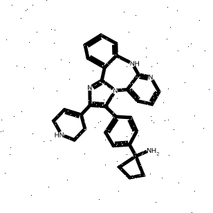 NC1(c2ccc(-c3c(C4=CCNCC4)nc4n3-c3cccnc3Nc3ccccc3-4)cc2)CCC1